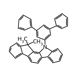 CC1(C)c2ccccc2-c2ccc3c4ccccc4n(-c4cc(-c5ccccc5)cc(-c5ccccc5)c4)c3c21